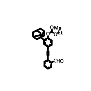 CCOC(OC)Oc1ccc(C#Cc2ccccc2C=O)cc1C12CC3CC(CC(C3)C1)C2